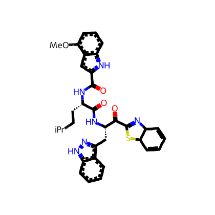 COc1cccc2[nH]c(C(=O)N[C@@H](CCC(C)C)C(=O)N[C@@H](Cc3n[nH]c4ccccc34)C(=O)C3=NC4C=CC=CC4S3)cc12